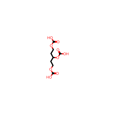 O=C(O)OCCC(CCOC(=O)O)OC(=O)O